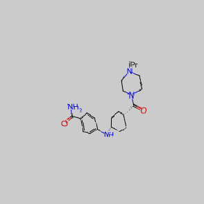 CC(C)N1CCN(C(=O)[C@H]2CC[C@@H](Nc3ccc(C(N)=O)cc3)CC2)CC1